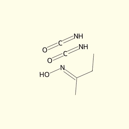 CCC(C)=NO.N=C=O.N=C=O